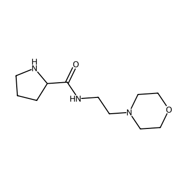 O=C(NCCN1CCOCC1)C1CCCN1